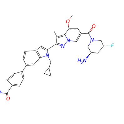 COc1cc(C(=O)N2C[C@H](N)C[C@@H](F)C2)cn2nc(-c3cc4ccc(-c5ccc(C(=O)N(C)C)cc5)cc4n3CC3CC3)c(C)c12